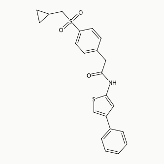 O=C(Cc1ccc(S(=O)(=O)CC2CC2)cc1)Nc1cc(-c2ccccc2)cs1